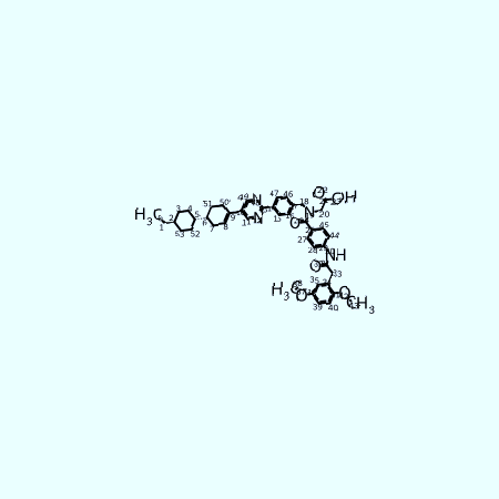 CC[C@H]1CC[C@H](C2CC=C(c3cnc(-c4ccc(CN(CC(=O)O)C(=O)c5ccc(NC(=O)Cc6cc(OC)ccc6OC)cc5)cc4)nc3)CC2)CC1